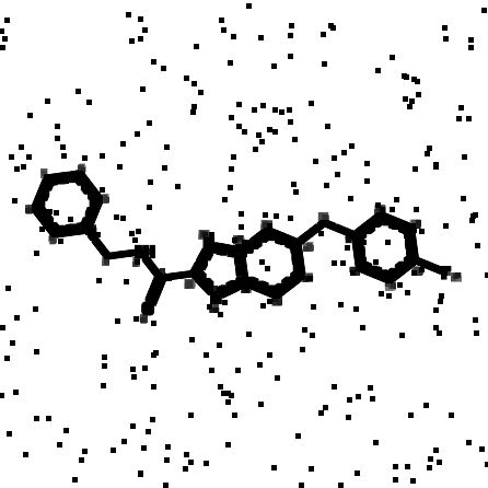 O=C(NCc1ccccc1)c1nc2ccc(Cc3ccc(F)cc3)cn2n1